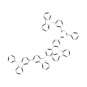 c1ccc(-c2nc(-c3cccc(-n4c5ccccc5c5ccccc54)c3)nc(-c3ccc(-c4ccc(-n5c6ccccc6c6cc(-c7ccc8c(c7)c7ccccc7n8-c7ccccc7)ccc65)cc4)c(-n4c5ccccc5c5ccccc54)c3)n2)cc1